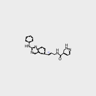 O=C(NC/C=C/c1ccc2nc(Nc3ccccc3)ncc2c1)C1=CC=NNC1